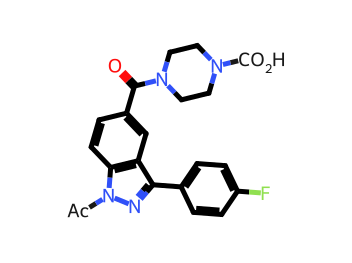 CC(=O)n1nc(-c2ccc(F)cc2)c2cc(C(=O)N3CCN(C(=O)O)CC3)ccc21